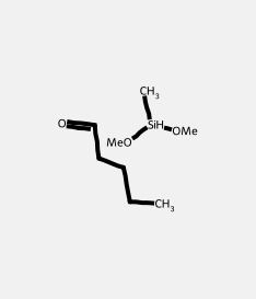 CCCCC=O.CO[SiH](C)OC